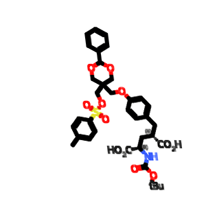 Cc1ccc(S(=O)(=O)OCC2(COc3ccc(C[C@@H](C[C@@H](NC(=O)OC(C)(C)C)C(=O)O)C(=O)O)cc3)COC(c3ccccc3)OC2)cc1